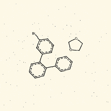 Brc1cccc(-c2ccccc2-c2ccccc2)c1.C1COCO1